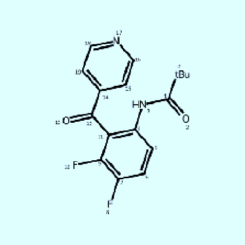 CC(C)(C)C(=O)Nc1ccc(F)c(F)c1C(=O)c1ccncc1